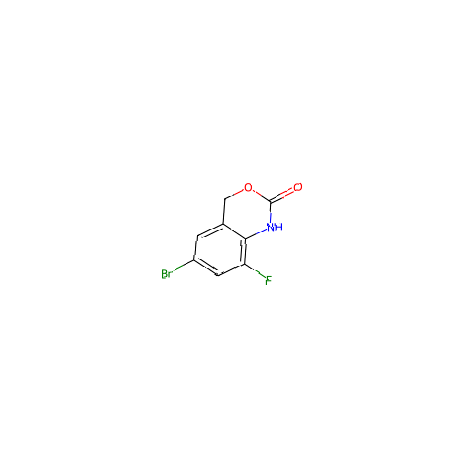 O=C1Nc2c(F)cc(Br)cc2CO1